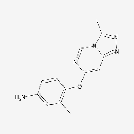 Cc1cc(N)ccc1Oc1cc2nnc(C)n2cn1